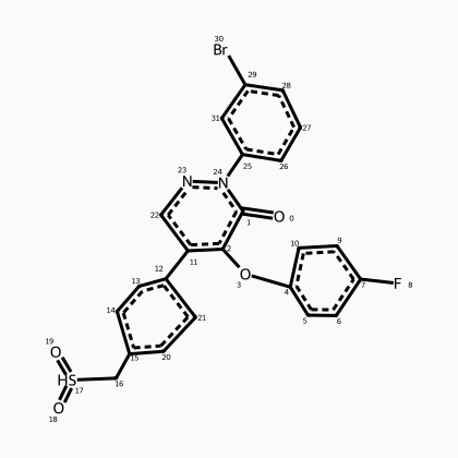 O=c1c(Oc2ccc(F)cc2)c(-c2ccc(C[SH](=O)=O)cc2)cnn1-c1cccc(Br)c1